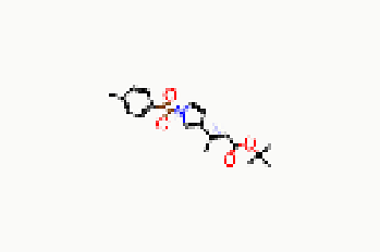 C/C(=C\C(=O)OC(C)(C)C)c1ccn(S(=O)(=O)c2ccc(C)cc2)c1